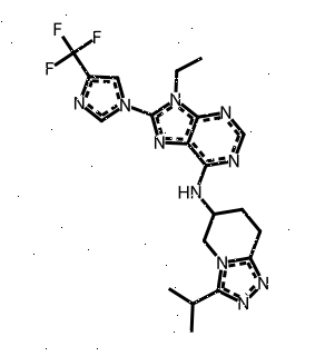 CCn1c(-n2cnc(C(F)(F)F)c2)nc2c(NC3CCc4nnc(C(C)C)n4C3)ncnc21